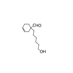 O=CC1(CCCCCCO)CC=CCC1